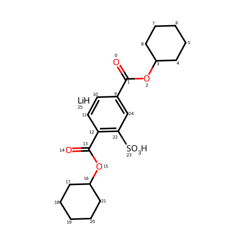 O=C(OC1CCCCC1)c1ccc(C(=O)OC2CCCCC2)c(S(=O)(=O)O)c1.[LiH]